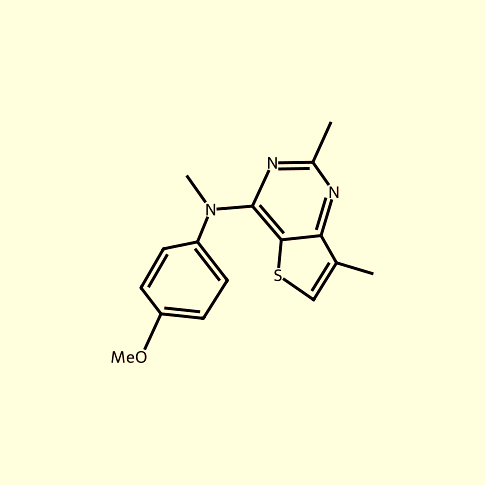 COc1ccc(N(C)c2nc(C)nc3c(C)csc23)cc1